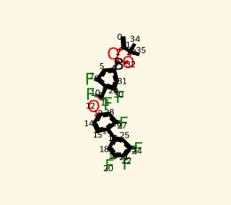 C=C1OB(c2cc(F)c(C(F)(F)Oc3ccc(-c4cc(F)c(F)c(F)c4)c(F)c3)c(F)c2)OC1(C)C